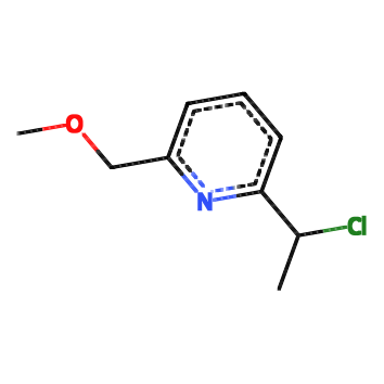 COCc1cccc(C(C)Cl)n1